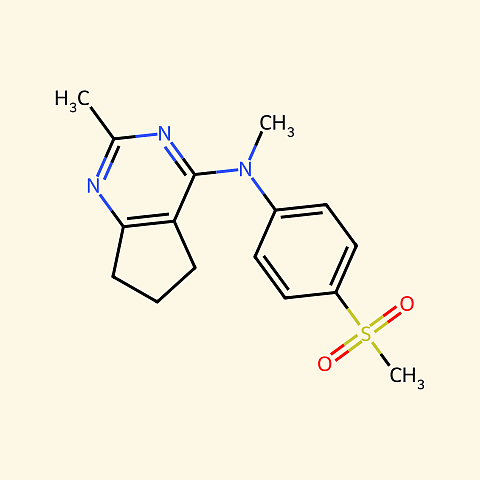 Cc1nc2c(c(N(C)c3ccc(S(C)(=O)=O)cc3)n1)CCC2